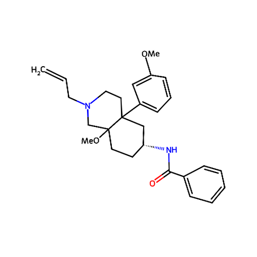 C=CCN1CCC2(c3cccc(OC)c3)C[C@H](NC(=O)c3ccccc3)CCC2(OC)C1